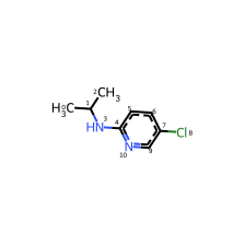 CC(C)Nc1c[c]c(Cl)cn1